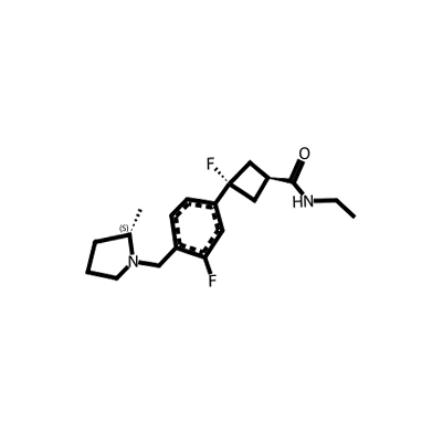 CCNC(=O)[C@H]1C[C@@](F)(c2ccc(CN3CCC[C@@H]3C)c(F)c2)C1